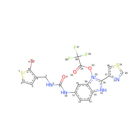 O=C(NCc1ccsc1Br)Nc1ccc2[nH]c(-c3cscn3)[n+](OC(=O)C(F)(F)F)c2c1